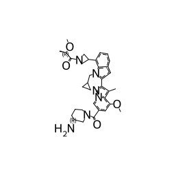 COc1cc(C(=O)N2CCC[C@@H](N)C2)cn2nc(-c3cc4cccc(C5CN(C(=O)[C@@H](C)OC)C5)c4n3CC3CC3)c(C)c12